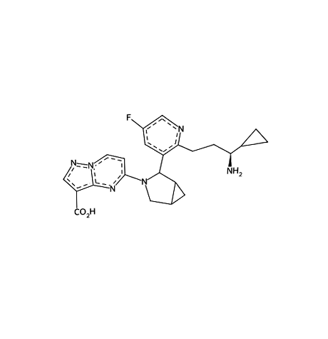 N[C@@H](CCc1ncc(F)cc1C1C2CC2CN1c1ccn2ncc(C(=O)O)c2n1)C1CC1